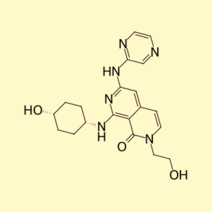 O=c1c2c(N[C@H]3CC[C@@H](O)CC3)nc(Nc3cnccn3)cc2ccn1CCO